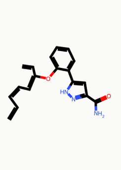 C=C/C=C\C=C(/C=C)Oc1ccccc1-c1cc(C(N)=O)n[nH]1